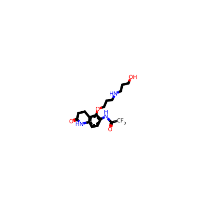 O=C1CCc2c(ccc(NC(=O)C(F)(F)F)c2OCCCNCCCO)N1